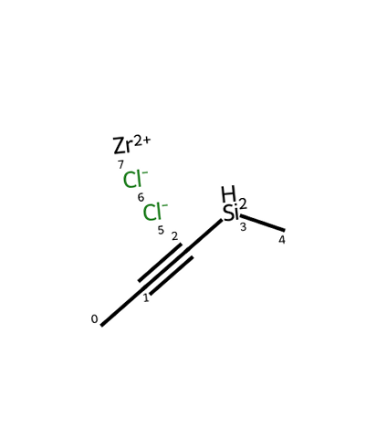 CC#C[SiH2]C.[Cl-].[Cl-].[Zr+2]